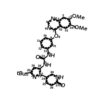 COc1cc2ncnc(Oc3cccc(NC(=O)Nc4cc(C(C)(C)C)nn4-c4ccc(=O)[nH]c4)c3)c2cc1OC